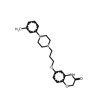 Cc1cccc(N2CCN(CCCOc3ccc4c(c3)NC(=O)CO4)CC2)c1